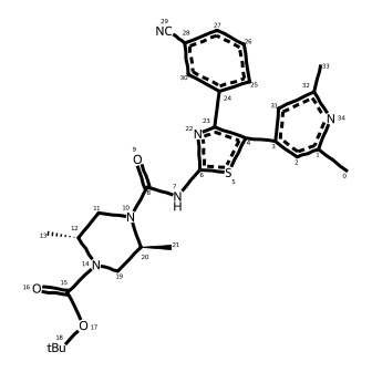 Cc1cc(-c2sc(NC(=O)N3C[C@@H](C)N(C(=O)OC(C)(C)C)C[C@@H]3C)nc2-c2cccc(C#N)c2)cc(C)n1